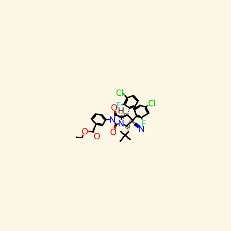 CCOC(=O)c1cccc(N2C(=O)[C@H]3[C@H](c4cccc(Cl)c4F)[C@@](C#N)(c4ccc(Cl)cc4F)[C@H](CC(C)(C)C)N3C2=O)c1